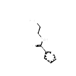 O=C(NCCC(F)(F)F)c1ccco1